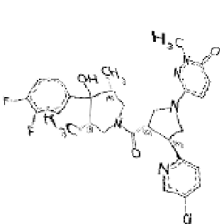 C[C@@H]1CN(C(=O)[C@@H]2CN(c3ccc(=O)n(C)n3)C[C@H]2c2ccc(Cl)cn2)C[C@H](C)C1(O)c1ccc(F)c(F)c1